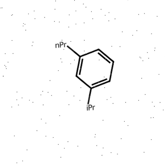 [CH2]CCc1cccc(C([CH2])C)c1